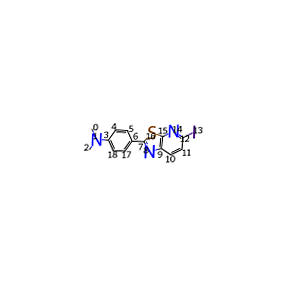 CN(C)c1ccc(-c2nc3ccc(I)nc3s2)cc1